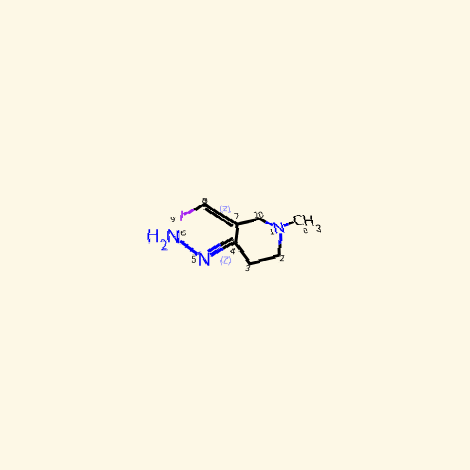 CN1CCC(=N/N)/C(=C\I)C1